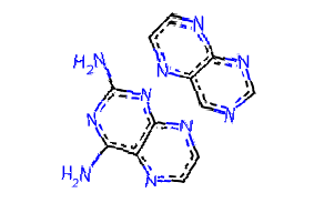 Nc1nc(N)c2nccnc2n1.c1cnc2ncncc2n1